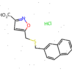 Cl.O=C(O)c1cc(CSCc2ccc3ccccc3c2)on1